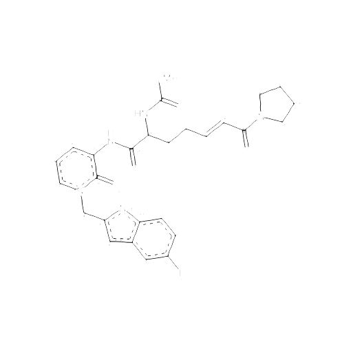 COC(=O)NC(CCC=CC(=O)N1CCCC1)C(=O)Nc1cccn(Cc2cc3cc(F)ccc3[nH]2)c1=O